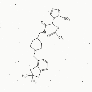 CC1(C)Cc2cccc(CN3CCC(CNC(=O)C(OC(=O)C(F)(F)F)n4ccnc4[N+](=O)[O-])CC3)c2O1